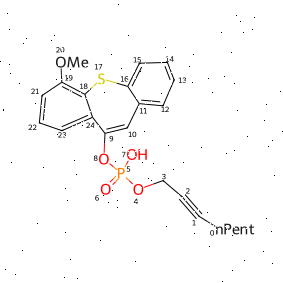 CCCCCC#CCOP(=O)(O)OC1=Cc2ccccc2Sc2c(OC)cccc21